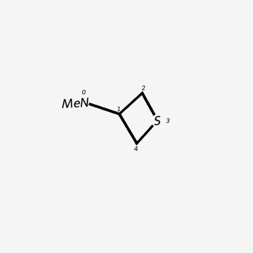 CNC1CSC1